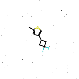 Cc1cc(C2CC(F)(F)C2)cs1